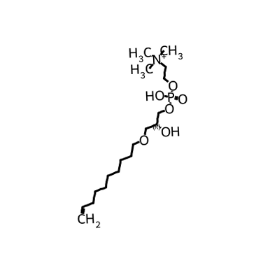 C=CCCCCCCCCOC[C@@H](O)COP(=O)(O)OCC[N+](C)(C)C